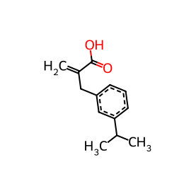 C=C(Cc1cccc(C(C)C)c1)C(=O)O